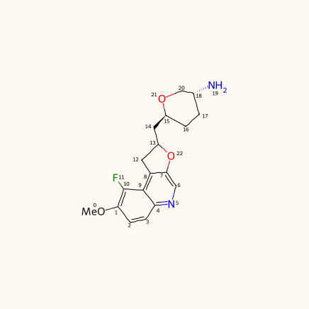 COc1ccc2ncc3c(c2c1F)CC(C[C@@H]1CC[C@@H](N)CO1)O3